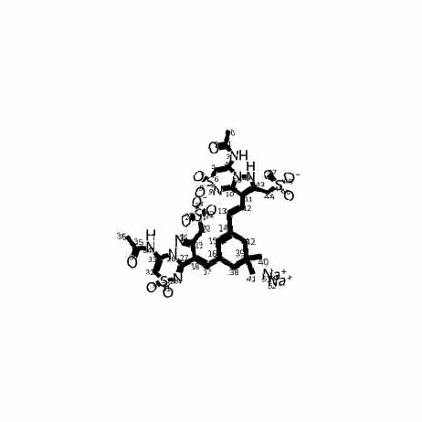 CC(=O)NC1=CS(=O)(=O)N=C2C(C=CC3=CC(C=c4c(CS(=O)(=O)[O-])nn5c4=NS(=O)(=O)C=C5NC(C)=O)CC(C)(C)C3)=C(CS(=O)(=O)[O-])NN12.[Na+].[Na+]